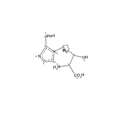 CC(O)C(N)C(=O)O.CCCCCc1nccn1C